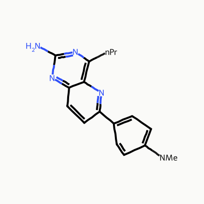 CCCc1nc(N)nc2ccc(-c3ccc(NC)cc3)nc12